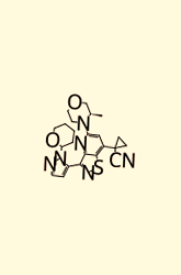 C[C@@H]1COCCN1c1cc(C2(C#N)CC2)c2snc(-c3ccnn3C3CCCCO3)c2n1